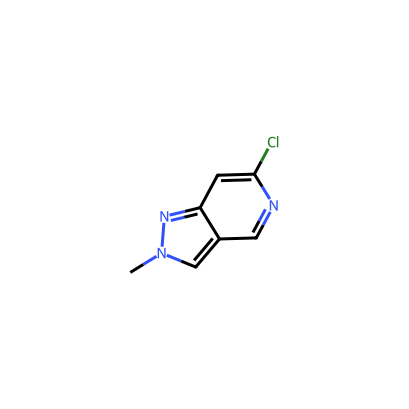 Cn1cc2cnc(Cl)cc2n1